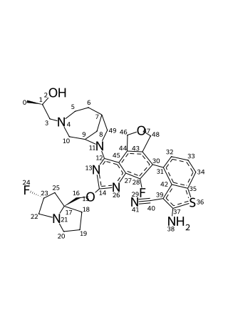 C[C@@H](O)CN1CCC2CC(C1)N(c1nc(OC[C@@]34CCCN3C[C@H](F)C4)nc3c(F)c(-c4cccc5sc(N)c(C#N)c45)c4c(c13)COC4)C2